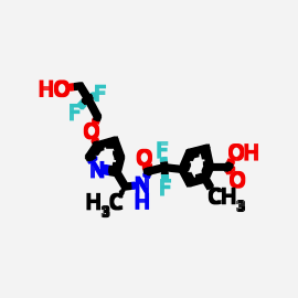 Cc1cc(C(F)(F)C(=O)N[C@H](C)c2ccc(OCC(F)(F)CO)cn2)ccc1C(=O)O